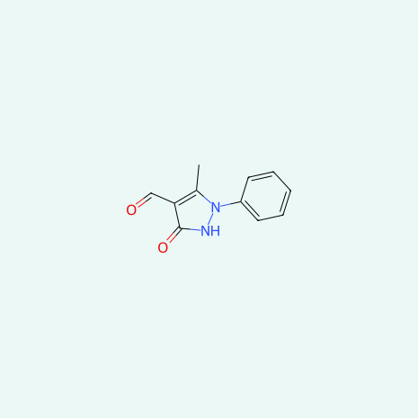 Cc1c(C=O)c(=O)[nH]n1-c1ccccc1